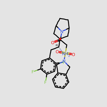 N[C@H](Cc1cc(F)c(F)cc1F)C1CC2CCC(C1)N2C(=O)CS(=O)(=O)N1Cc2ccccc2C1